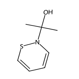 CC(C)(O)N1C=CC=CS1